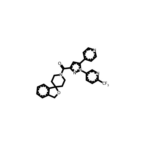 O=C(c1cc(-c2ccncc2)n(-c2ccc(C(F)(F)F)nc2)n1)N1CCC2(CC1)OCc1ccccc12